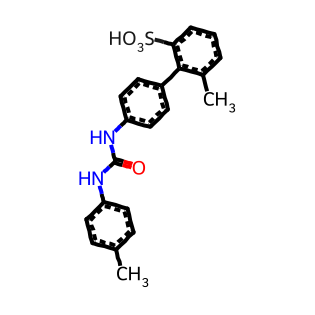 Cc1ccc(NC(=O)Nc2ccc(-c3c(C)cccc3S(=O)(=O)O)cc2)cc1